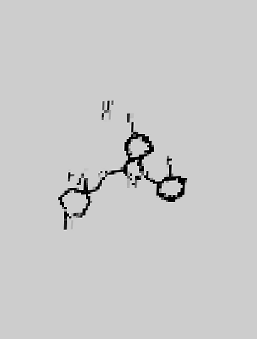 CC1(COc2nn(-c3ccccc3F)c3ccc(F)cc23)CCNCC1.[Cl-].[H+]